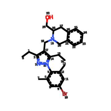 CCc1nn(-c2c(C)cc(Br)cc2C)c(CC)c1CN1Cc2ccccc2CC1CO